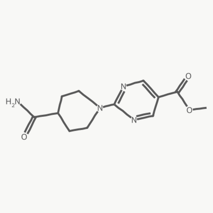 COC(=O)c1cnc(N2CCC(C(N)=O)CC2)nc1